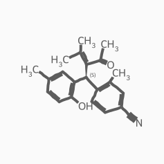 CC(=O)C(=C(C)C)[C@@H](c1ccc(C#N)cc1C)c1cc(C)ccc1O